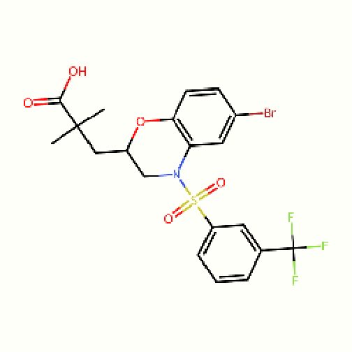 CC(C)(CC1CN(S(=O)(=O)c2cccc(C(F)(F)F)c2)c2cc(Br)ccc2O1)C(=O)O